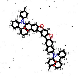 Cc1ccc(N(c2ccc3cc4c(cc3c2)oc2cc3oc5cc6cc(N(c7ccc(C)cc7)c7ccccc7-c7ccccc7)ccc6cc5c3cc24)c2ccccc2-c2ccccc2)cc1